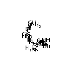 Cc1ncsc1-c1ccc(CNC(=O)[C@@H]2C[C@@H](O)CN2C(=O)[C@@H](NC(=O)C2(F)CC2)C(C)(C)C)c(OCCCN2CCN(CC(=O)Nc3cccc(Sc4cnc(N5CCC(C)(CN)CC5)cn4)c3Cl)CC2)c1